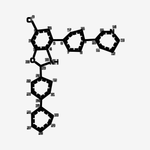 Clc1cc2c(c(-c3ccc(-c4cccnc4)cc3)c1)NC(c1ccc(-c3ccccc3)cc1)O2